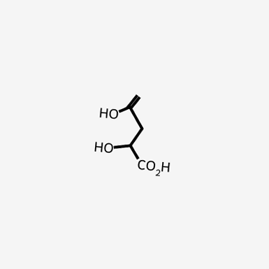 C=C(O)CC(O)C(=O)O